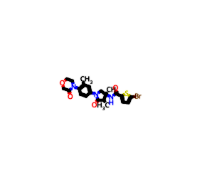 Cc1cc(N2CC(C)(NC(=O)c3ccc(Br)s3)C(C)C2=O)ccc1N1CCOCC1=O